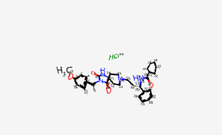 COc1ccc(CN2C(=O)NC3(CCN(CC[C@H](NC(=O)C4CCCCC4)c4ccccc4)CC3)C2=O)cc1.Cl